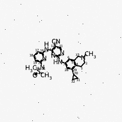 CN1CCc2c(cc(Nc3ncc(C#N)c(Nc4cccc(N=S(C)(C)=O)n4)n3)cc2C2CC2)C1